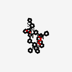 c1ccc(-c2cc(-c3ccc(-n4c5ccccc5c5c6sc7ccccc7c6ccc54)c(-c4nc(-c5ccccc5)cc(-c5cccc(-c6cc7c8c(c6)N(c6ccccc6)c6ccccc6B8c6ccccc6N7c6ccccc6)c5)n4)c3)nc(-c3ccccc3)n2)cc1